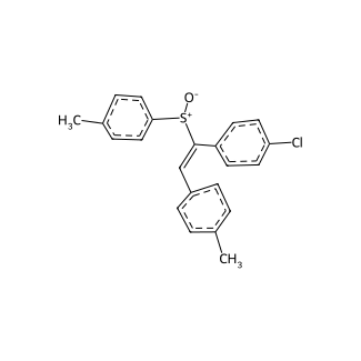 Cc1ccc(/C=C(\c2ccc(Cl)cc2)[S+]([O-])c2ccc(C)cc2)cc1